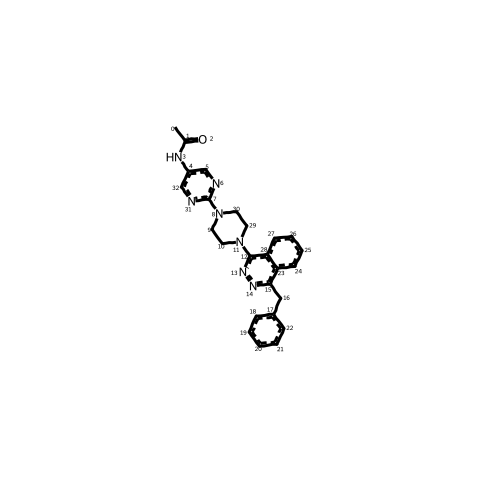 CC(=O)Nc1cnc(N2CCN(c3nnc(Cc4ccccc4)c4ccccc34)CC2)nc1